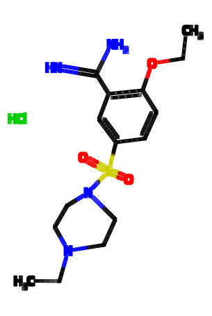 CCOc1ccc(S(=O)(=O)N2CCN(CC)CC2)cc1C(=N)N.Cl